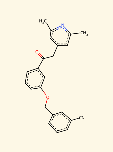 Cc1cc(CC(=O)c2cccc(OCc3cccc(C#N)c3)c2)cc(C)n1